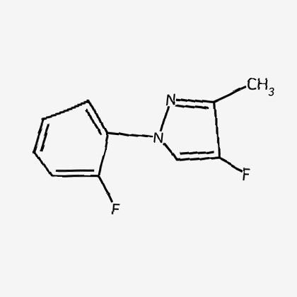 Cc1nn(-c2ccccc2F)cc1F